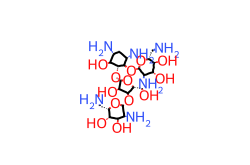 NC[C@@H]1O[C@H](O[C@H]2[C@@H](O)[C@H](O[C@H]3C(O[C@H]4O[C@H](CN)[C@@H](O)[C@H](O)[C@H]4N)[C@@H](N)C[C@@H](N)[C@@H]3O)O[C@@H]2CO)[C@H](N)[C@@H](O)[C@@H]1O